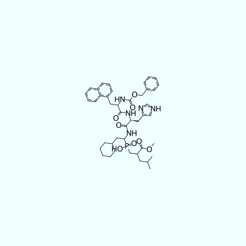 COC(=O)C(CC(C)C)CP(=O)(O)C(CC1CCCCC1)NC(=O)[C@H](Cc1c[nH]cn1)NC(=O)C(Cc1cccc2ccccc12)NC(=O)OCc1ccccc1